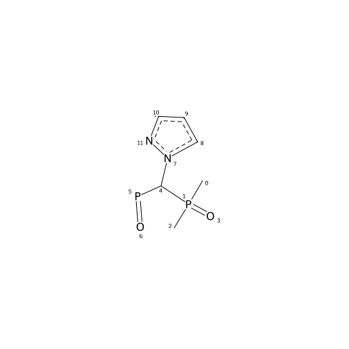 CP(C)(=O)C(P=O)n1cc[c]n1